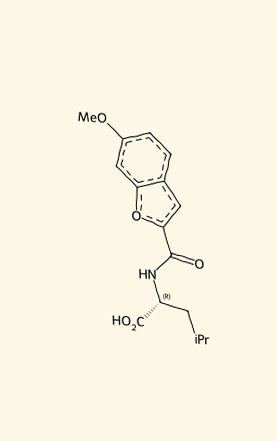 COc1ccc2cc(C(=O)N[C@H](CC(C)C)C(=O)O)oc2c1